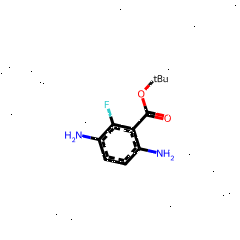 CC(C)(C)OC(=O)c1c(N)ccc(N)c1F